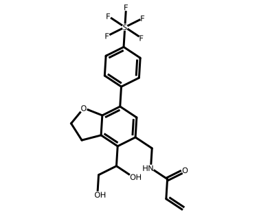 C=CC(=O)NCc1cc(-c2ccc(S(F)(F)(F)(F)F)cc2)c2c(c1C(O)CO)CCO2